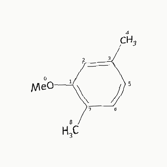 COc1[c]c(C)ccc1C